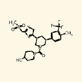 Cc1ccc(C2CC(C3=NC(CS(C)(=O)=O)=NC3)CN(C(=O)N3CCC(O)CC3)C2)cc1C(F)(F)F